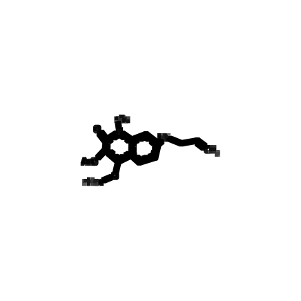 C=CCNc1ccc2c(OCCCCCC)c(OC(C)=O)c(=O)n(CCCC)c2c1